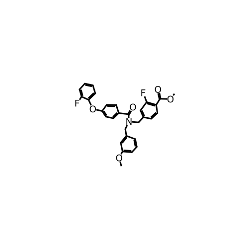 COC(=O)c1ccc(CN(Cc2cccc(OC)c2)C(=O)c2ccc(Oc3ccccc3F)cc2)cc1F